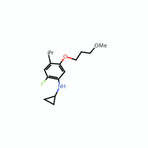 COCCCOc1cc(NC2CC2)c(F)cc1C(C)C